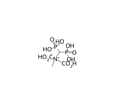 C[N+](C(=O)O)(C(=O)O)C(P(=O)(O)O)P(=O)(O)O